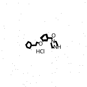 Cl.O=C(c1cccc(OCCC2CCCCC2)c1)N1CCNCC1